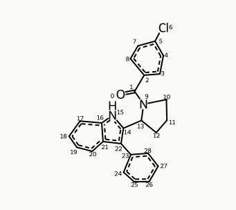 O=C(c1ccc(Cl)cc1)N1CCCC1c1[nH]c2ccccc2c1-c1ccccc1